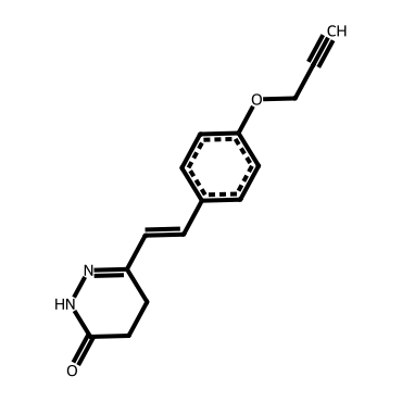 C#CCOc1ccc(C=CC2=NNC(=O)CC2)cc1